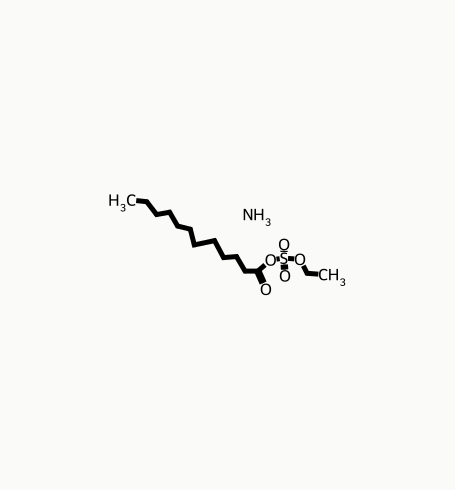 CCCCCCCCCCCC(=O)OS(=O)(=O)OCC.N